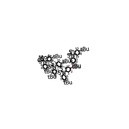 CC(C)(C)c1ccc(N(C(=S)[S-])c2ccc(C(C)(C)C)cc2)cc1.CC(C)(C)c1ccc(N(C(=S)[S-])c2ccc(C(C)(C)C)cc2)cc1.CC(C)(C)c1ccc(N(C(=S)[S-])c2ccc(C(C)(C)C)cc2)cc1.CC(C)(C)c1ccc(N(C(=S)[S-])c2ccc(C(C)(C)C)cc2)cc1.[O]=[Mo+4]